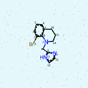 Brc1cccc2c1N(Cc1ncc[nH]1)CCC2